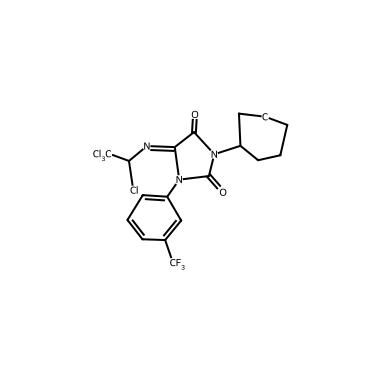 O=C1/C(=N/C(Cl)C(Cl)(Cl)Cl)N(c2cccc(C(F)(F)F)c2)C(=O)N1C1CCCCC1